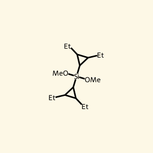 CCC1C(CC)C1[Si](OC)(OC)C1C(CC)C1CC